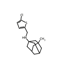 CC12CC3CC(C1)CC(NCc1ccc(Cl)s1)(C3)C2